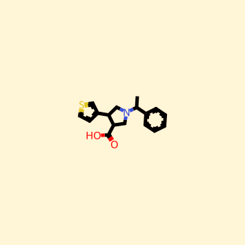 CC(c1ccccc1)N1CC(C(=O)O)C(c2ccsc2)C1